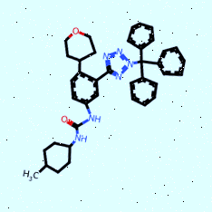 CC1CCC(NC(=O)Nc2ccc(C3CCOCC3)c(-c3nnn(C(c4ccccc4)(c4ccccc4)c4ccccc4)n3)c2)CC1